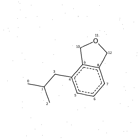 CC(C)Cc1cccc2c1COC2